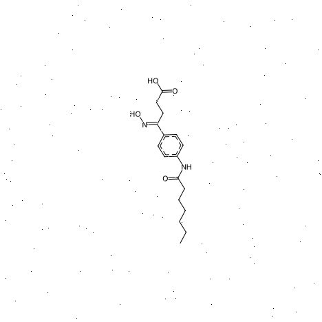 CCCCCCC(=O)Nc1ccc(C(CCC(=O)O)=NO)cc1